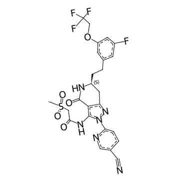 CS(=O)(=O)CC(=O)Nc1c2c(nn1-c1ccc(C#N)cn1)C[C@H](CCc1cc(F)cc(OCC(F)(F)F)c1)NC2=O